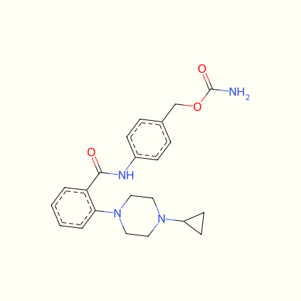 NC(=O)OCc1ccc(NC(=O)c2ccccc2N2CCN(C3CC3)CC2)cc1